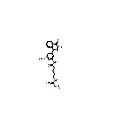 Cl.N=C(N)NCCCCC(=O)Nc1cccc(-c2n[nH]c(=O)c3ccccc23)c1